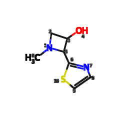 CN1CC(O)C1c1nccs1